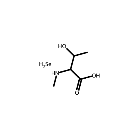 CNC(C(=O)O)C(C)O.[SeH2]